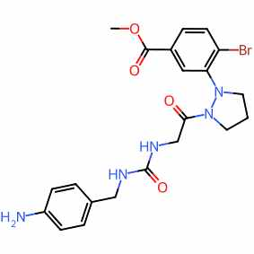 COC(=O)c1ccc(Br)c(N2CCCN2C(=O)CNC(=O)NCc2ccc(N)cc2)c1